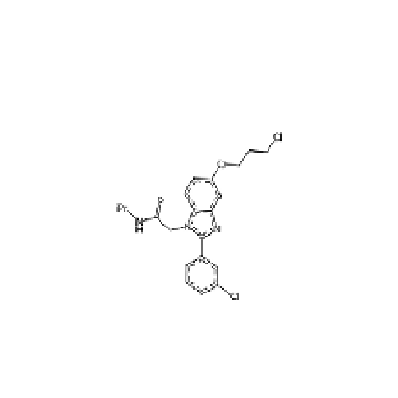 CC(C)NC(=O)Cn1c(-c2cccc(Cl)c2)nc2cc(OCCCCl)ccc21